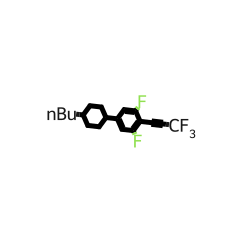 CCCCC1CCC(c2cc(F)c(C#CC(F)(F)F)c(F)c2)CC1